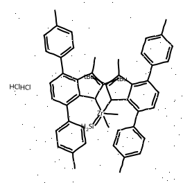 CC1=C(C(C)(C)C)[CH]([Zr]([CH3])([CH3])(=[SiH2])[CH]2C(C(C)(C)C)=C(C)c3c(-c4ccc(C)cc4)ccc(-c4ccc(C)cc4)c32)c2c(-c3ccc(C)cc3)ccc(-c3ccc(C)cc3)c21.Cl.Cl